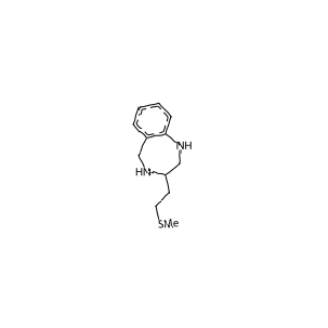 CSCCC1CNc2ccccc2CN1